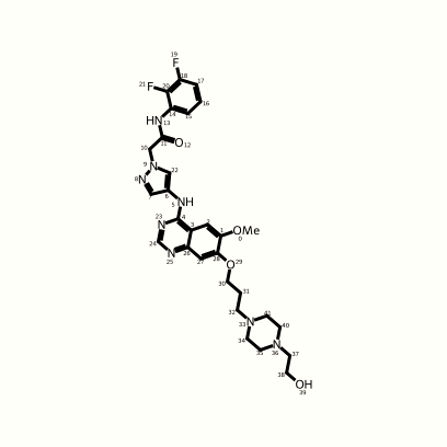 COc1cc2c(Nc3cnn(CC(=O)Nc4cccc(F)c4F)c3)ncnc2cc1OCCCN1CCN(CCO)CC1